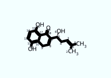 CC(C)=CC[C@@H](O)C1=CCc2c(O)ccc(O)c2C1=O